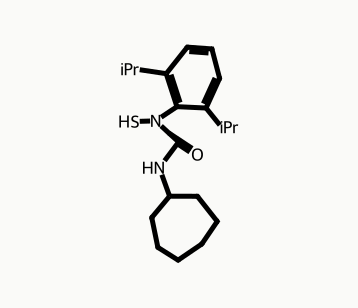 CC(C)c1cccc(C(C)C)c1N(S)C(=O)NC1CCCCCC1